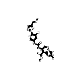 COCc1cnn(-c2ncc(NC(=O)Nc3cnn4cc(C)nc4c3[C@H](C)OC)cc2Cl)n1